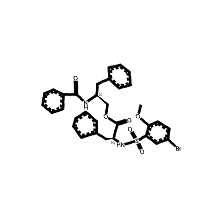 COc1ccc(Br)cc1S(=O)(=O)N[C@@H](Cc1ccccc1)C(=O)OC[C@H](Cc1ccccc1)NC(=O)c1ccccc1